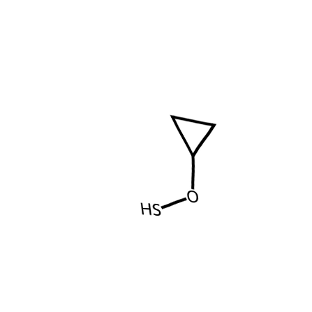 SOC1CC1